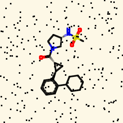 CS(=O)(=O)N[C@H]1CCN(C(=O)[C@@H]2C[C@H]2c2ccccc2C2CCCCC2)C1